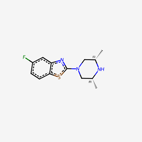 C[C@@H]1CN(c2nc3cc(F)ccc3s2)C[C@H](C)N1